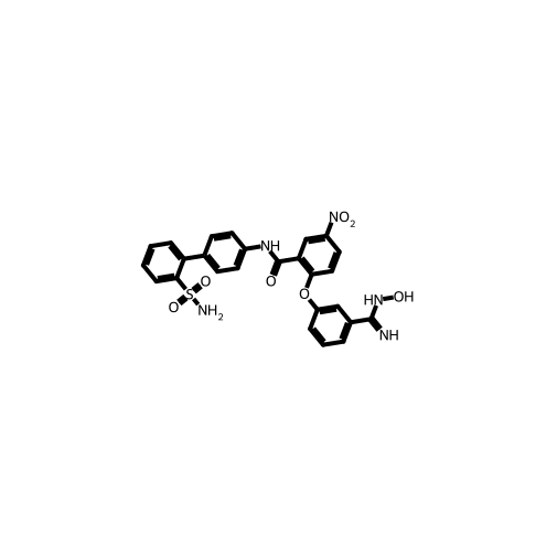 N=C(NO)c1cccc(Oc2ccc([N+](=O)[O-])cc2C(=O)Nc2ccc(-c3ccccc3S(N)(=O)=O)cc2)c1